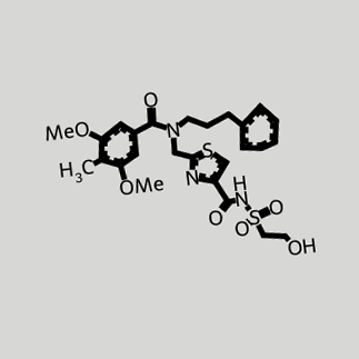 COc1cc(C(=O)N(CCCc2ccccc2)Cc2nc(C(=O)NS(=O)(=O)CCO)cs2)cc(OC)c1C